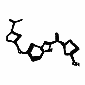 CC(C)N1CCC(Oc2ccc3[nH]c(C(=O)N4CCC(O)C4)cc3c2)C1